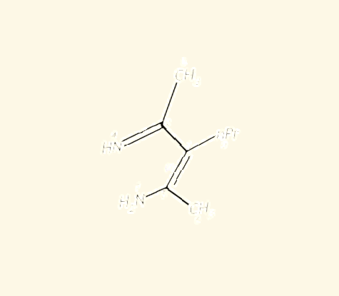 CCC/C(C(C)=N)=C(\C)N